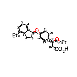 CCc1cccc2c1CCC2Oc1ccc([C@H](CC(=O)O)OC(C)C)cc1